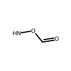 [NH]OC=O